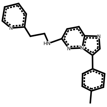 Cc1ccc(-c2cnc3ccc(NCCc4ccccn4)nn23)cc1